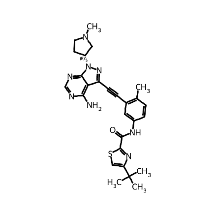 Cc1ccc(NC(=O)c2nc(C(C)(C)C)cs2)cc1C#Cc1nn([C@@H]2CCN(C)C2)c2ncnc(N)c12